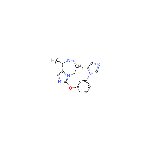 CCn1c(C(C)N)cnc1Oc1cccc(-n2ccnc2)c1